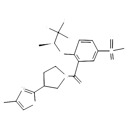 Cc1coc(C2CCN(C(=O)c3cc(S(C)(=O)=O)ccc3O[C@@H](C)C(F)(F)F)C2)n1